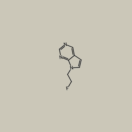 FCCn1ccc2cncnc21